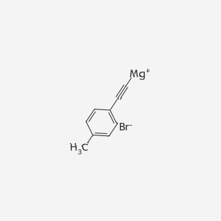 Cc1ccc(C#[C][Mg+])cc1.[Br-]